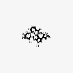 CC(Nc1ncnc2[nH]cc(-c3cnn(C)c3)c12)c1cccc(N2C[C@@H](C)N[C@@H](C)C2)n1